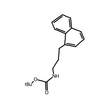 CC(C)(C)OC(=O)NCCCc1cccc2ccccc12